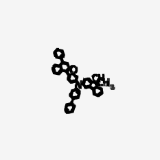 CC1(C)c2ccccc2-c2cc(N(c3ccc(-c4ccccc4)cc3)c3ccc4c(c3)oc3cc(-c5ccccc5)c5ccccc5c34)ccc21